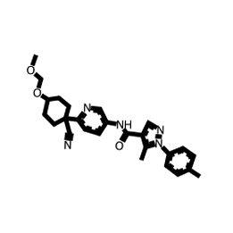 COCOC1CCC(C#N)(c2ccc(NC(=O)c3cnn(-c4ccc(C)cc4)c3C)cn2)CC1